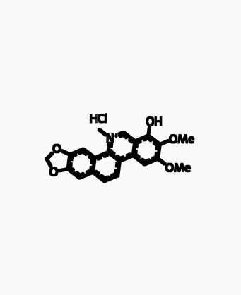 COc1cc2c(c[n+](C)c3c4cc5c(cc4ccc23)OCO5)c(O)c1OC.Cl